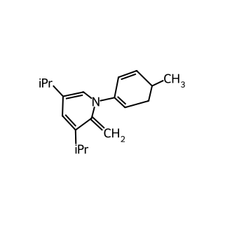 C=C1C(C(C)C)=CC(C(C)C)=CN1C1=CCC(C)C=C1